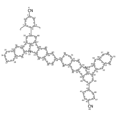 Cc1cc(C#N)cc(C)c1-c1cc2c3cc4ccccc4cc3n3c4cc5ccc(-c6ccc7cc8c(cc7c6)c6cc(-c7ccc(C#N)cc7)cc7c9cc%10ccccc%10cc9n8c76)cc5cc4c(c1)c23